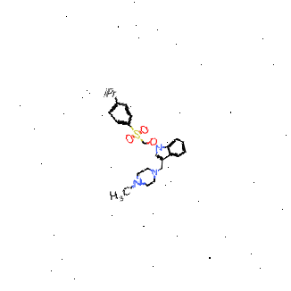 CC(C)c1ccc(S(=O)(=O)COn2cc(CN3CCN(C)CC3)c3ccccc32)cc1